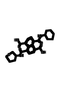 O=C(O)c1ccc(C(=O)NC2CCCCC2)c2c(C(=O)O)ccc(C(=O)NC3CCCCC3)c12